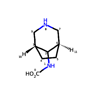 O=C(O)NC1[C@@H]2CC[C@@H]1CNC2